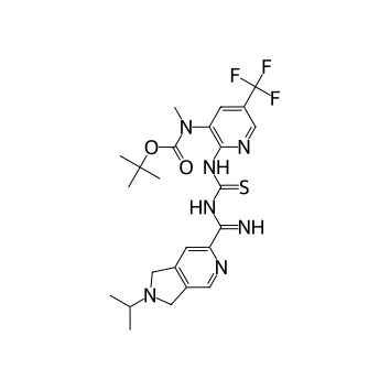 CC(C)N1Cc2cnc(C(=N)NC(=S)Nc3ncc(C(F)(F)F)cc3N(C)C(=O)OC(C)(C)C)cc2C1